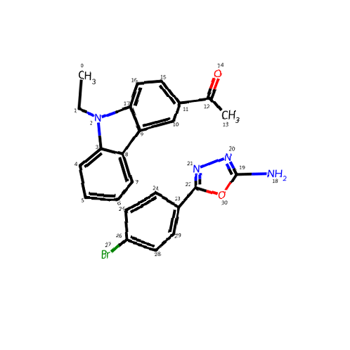 CCn1c2ccccc2c2cc(C(C)=O)ccc21.Nc1nnc(-c2ccc(Br)cc2)o1